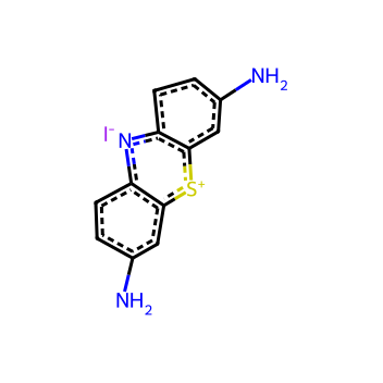 Nc1ccc2nc3ccc(N)cc3[s+]c2c1.[I-]